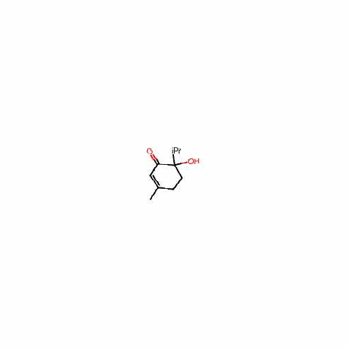 CC1=CC(=O)C(O)(C(C)C)CC1